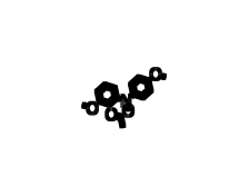 COc1ccc(N(OC(C)=O)c2cccc(OC)c2)cc1